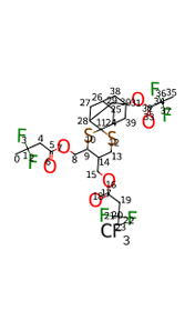 CC(F)(F)CC(=O)OCC1SC2(SCC1COC(=O)CC(F)(F)C(F)(F)F)C1CC3CC2CC(OC(=O)C(C)(F)F)(C3)C1